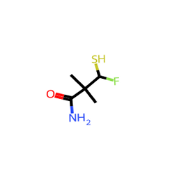 CC(C)(C(N)=O)C(F)S